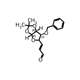 CC1(C)O[C@H]2OC(C=CC=O)[C@H](OCc3ccccc3)[C@H]2O1